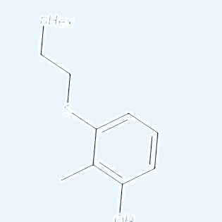 CCCCCCCCSc1cccc(O)c1C